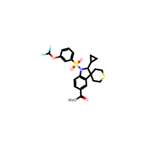 COC(=O)c1ccc2c(c1)C1(CCSCC1)C(C1CC1)N2S(=O)(=O)c1cccc(OC(F)F)c1